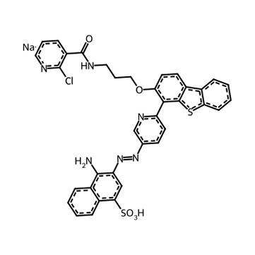 Nc1c(N=Nc2ccc(-c3c(OCCCNC(=O)c4cccnc4Cl)ccc4c3sc3ccccc34)nc2)cc(S(=O)(=O)O)c2ccccc12.[Na]